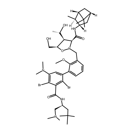 COc1c(CN2O[C@@H](CO)[C@@H]([C@H](C)O)[C@H]2C(=O)N[C@H]2C[C@H]3C[C@@H]([C@@H]2C)C3(C)C)cccc1-c1cc(N(C)C)c(Br)c(C(=O)N[C@H](CN(C)C)CC(C)(C)C)c1Br